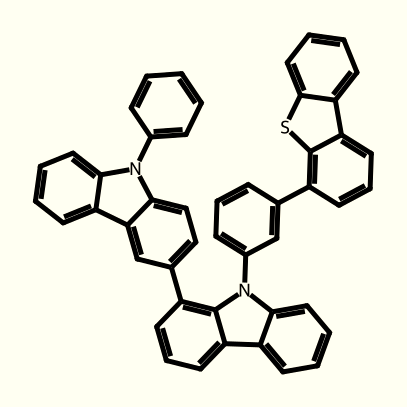 c1ccc(-n2c3ccccc3c3cc(-c4cccc5c6ccccc6n(-c6cccc(-c7cccc8c7sc7ccccc78)c6)c45)ccc32)cc1